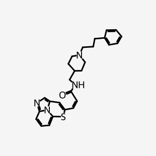 O=C(/C=C\C1=Cc2cnc3cccc(n23)S1)NCC1CCN(CCCc2ccccc2)CC1